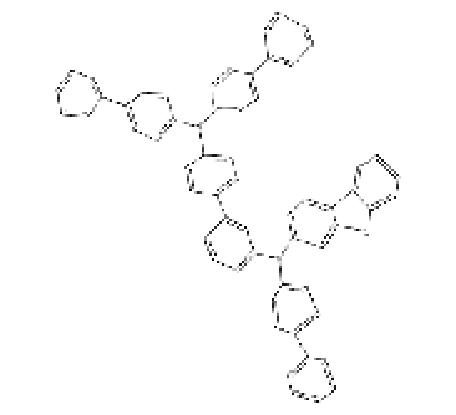 c1ccc(-c2ccc(N(c3ccc(-c4ccccc4)cc3)c3ccc(-c4cccc(N(c5ccc(-c6ccccc6)cc5)c5ccc6c(c5)sc5ccccc56)c4)cc3)cc2)cc1